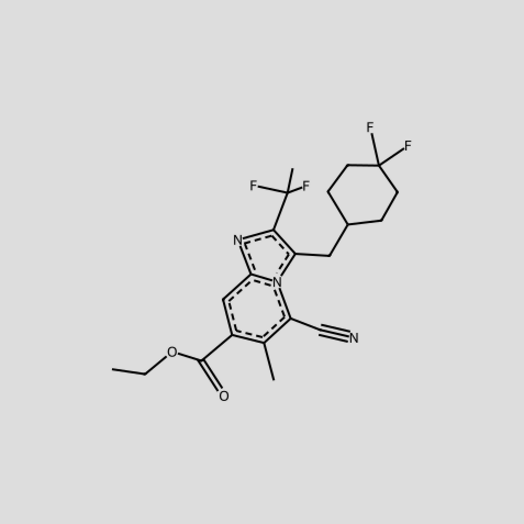 CCOC(=O)c1cc2nc(C(C)(F)F)c(CC3CCC(F)(F)CC3)n2c(C#N)c1C